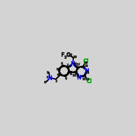 CN(C)Cc1ccc2c(c1)c1nc(Cl)nc(Cl)c1n2CC(F)(F)F